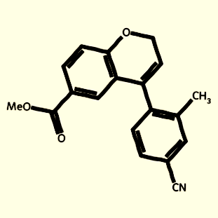 COC(=O)c1ccc2c(c1)C(c1ccc(C#N)cc1C)=CCO2